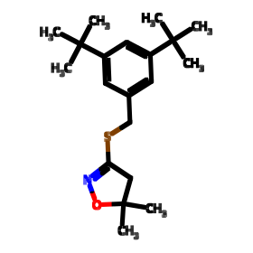 CC1(C)CC(SCc2cc(C(C)(C)C)cc(C(C)(C)C)c2)=NO1